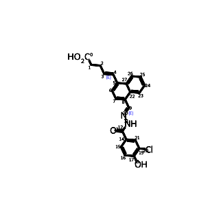 O=C(O)CC/C=C/c1ccc(/C=N/NC(=O)c2ccc(O)c(Cl)c2)c2ccccc12